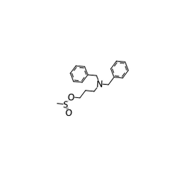 CS(=O)OCCCN(Cc1ccccc1)Cc1ccccc1